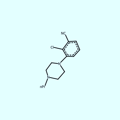 CCCN1CCN(c2cccc(C#N)c2Cl)CC1